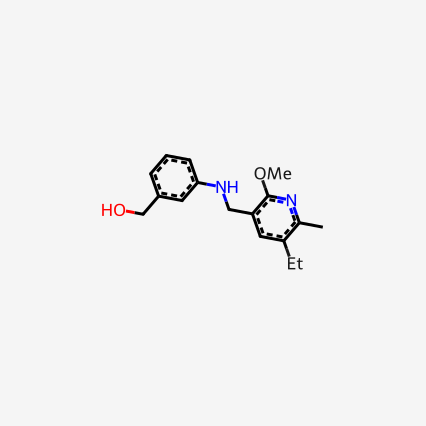 CCc1cc(CNc2cccc(CO)c2)c(OC)nc1C